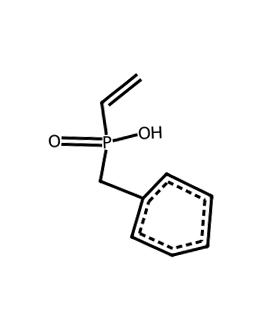 C=CP(=O)(O)Cc1ccccc1